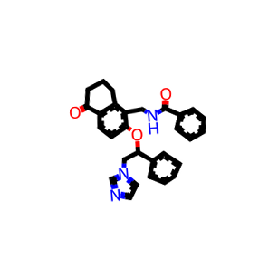 O=C(NCc1c(OC(Cn2ccnc2)c2ccccc2)ccc2c1CCCC2=O)c1ccccc1